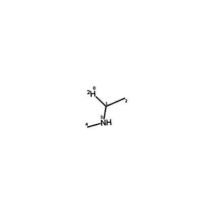 [2H]C(C)NC